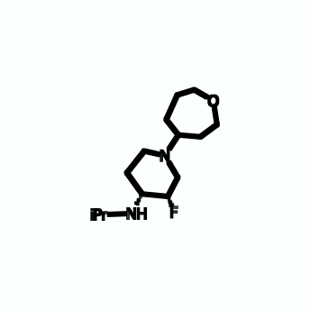 CC(C)N[C@@H]1CCN(C2CCCOCC2)C[C@@H]1F